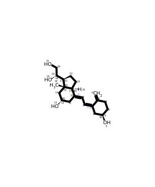 C=C1CC[C@@H](O)C/C1=C/C=C1\C[C@H](O)C[C@]2(C)[C@@H]([C@H](O)CO)CC[C@@H]12